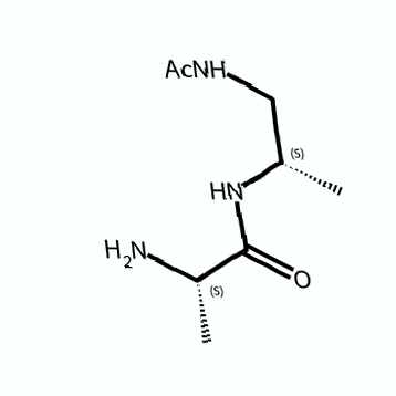 CC(=O)NC[C@H](C)NC(=O)[C@H](C)N